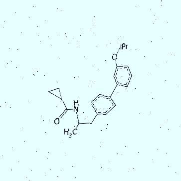 CC(Cc1ccc(-c2cccc(OC(C)C)c2)cc1)NC(=O)C1CC1